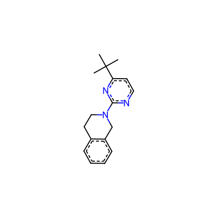 CC(C)(C)c1ccnc(N2CCc3ccccc3C2)n1